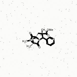 COC(=O)[C@@]1(C)C[C@@]23S[C@@](C)(C(=O)N2C1c1cccnc1)N(C)C3=O